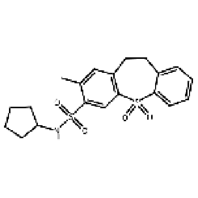 Cc1cc2c(cc1S(=O)(=O)NC1CCCC1)S(=O)(=O)c1ccccc1CC2